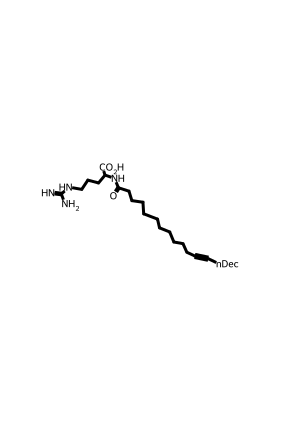 CCCCCCCCCCC#CCCCCCCCCCCC(=O)NC(CCCNC(=N)N)C(=O)O